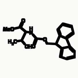 COC(=O)C(NC(=O)OCC1c2ccccc2-c2ccccc21)C(C)O